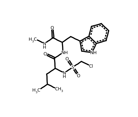 CNC(=O)C(Cc1c[nH]c2ccccc12)NC(=O)C(CC(C)C)NS(=O)(=O)CCl